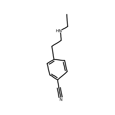 CCNCCc1ccc(C#N)cc1